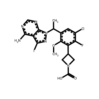 COc1c(C(C)n2nc(I)c3c(N)ncnc32)cc(Cl)c(F)c1C1CN(C(=O)O)C1